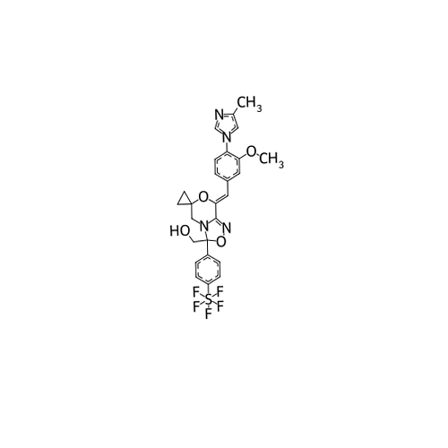 COc1cc(/C=C2\OC3(CC3)CN3C2=NOC3(CO)c2ccc(S(F)(F)(F)(F)F)cc2)ccc1-n1cnc(C)c1